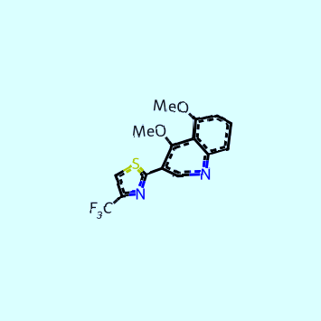 COc1cccc2n[c]c(-c3nc(C(F)(F)F)cs3)c(OC)c12